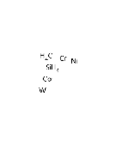 C.[Co].[Cr].[Ni].[SiH4].[W]